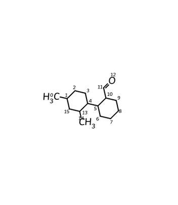 CC1CCC(C2CCCCC2C=O)C(C)C1